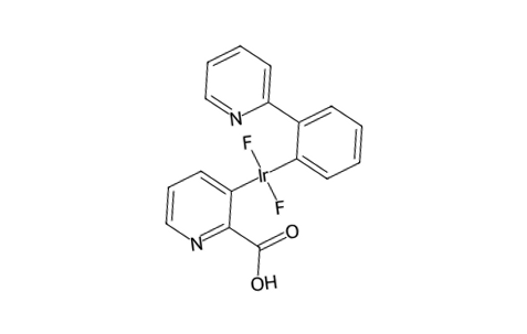 O=C(O)c1nccc[c]1[Ir]([F])([F])[c]1ccccc1-c1ccccn1